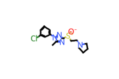 Cc1nc([S+]([O-])CCN2CCCC2)nn1-c1cccc(Cl)c1